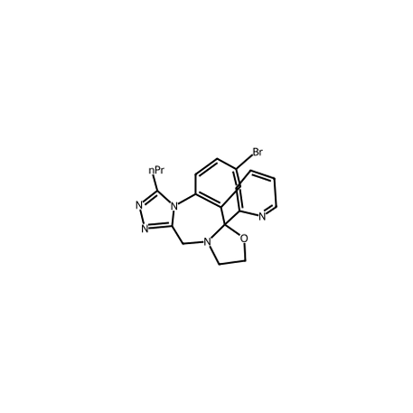 CCCc1nnc2n1-c1ccc(Br)cc1C1(c3ccccn3)OCCN1C2